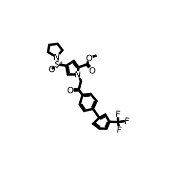 COC(=O)c1cc([S+]([O-])N2CCCC2)cn1CC(=O)c1ccc(-c2cccc(C(F)(F)F)c2)cc1